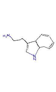 NCCC1=CNC2C=CC=CC12